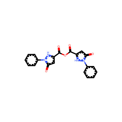 O=C(OC(=O)c1cc(=O)n(-c2ccccc2)[nH]1)c1cc(=O)n(-c2ccccc2)[nH]1